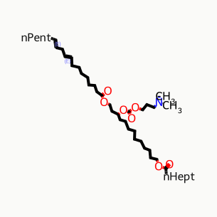 CCCCC/C=C/C/C=C/CCCCCCCC(=O)OCCC(CCCCCCCCCCOC(=O)CCCCCCC)OC(=O)OCCCN(C)C